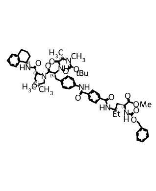 CC[C@H](C[C@H](NC(=O)OCc1ccccc1)C(=O)OC)NC(=O)c1ccc(C(=O)Nc2ccc(C[C@H](NC(=O)[C@H](C)N(C)C(=O)OC(C)(C)C)C(=O)N3C[Si](C)(C)C[C@H]3C(=O)N[C@@H]3CCCc4ccccc43)cc2)cc1